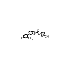 N#Cc1ncn(CC(=O)N2Cc3ccc(-c4ccc(F)cc4C(F)(F)F)cc3C2)n1